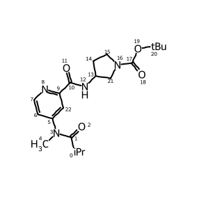 CC(C)C(=O)N(C)c1ccnc(C(=O)NC2CCN(C(=O)OC(C)(C)C)C2)c1